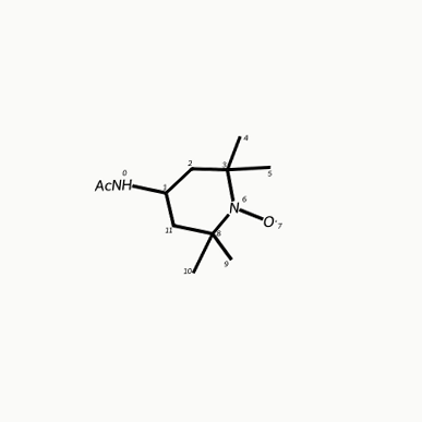 CC(=O)NC1CC(C)(C)N([O])C(C)(C)C1